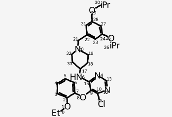 CCOc1ccccc1Oc1c(Cl)ncnc1NC1CCN(Cc2cc(OC(C)C)cc(OC(C)C)c2)CC1